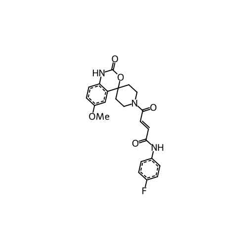 COc1ccc2c(c1)C1(CCN(C(=O)C=CC(=O)Nc3ccc(F)cc3)CC1)OC(=O)N2